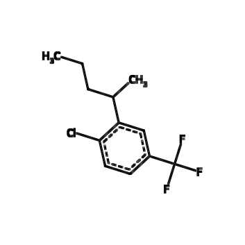 CCCC(C)c1cc(C(F)(F)F)ccc1Cl